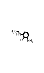 CCNc1cccc(N)c1Cl